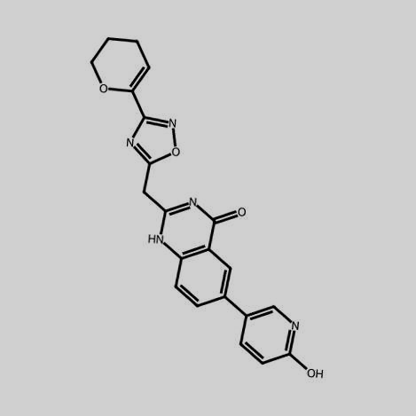 O=c1nc(Cc2nc(C3=CCCCO3)no2)[nH]c2ccc(-c3ccc(O)nc3)cc12